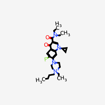 CCCC[N+]1(CC)CCN(c2cc3c(cc2F)c(=O)c(C(=O)N(CC)CC)cn3C2CC2)CC1